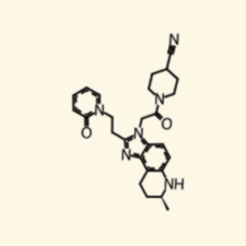 C[C@H]1CCc2c(ccc3c2nc(CCn2ccccc2=O)n3CC(=O)N2CCC(C#N)CC2)N1